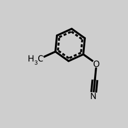 Cc1cccc(OC#N)c1